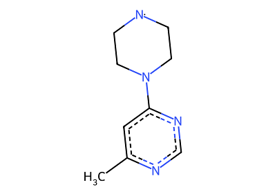 Cc1cc(N2CC[N]CC2)ncn1